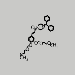 COCCOCOc1ccc(C=CC(=O)N2CCN(C(c3ccccc3)c3ccccc3)CC2)cc1OCOCCOC